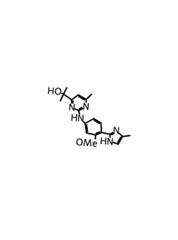 COc1cc(Nc2nc(C)cc(C(C)(C)O)n2)ccc1-c1nc(C)c[nH]1